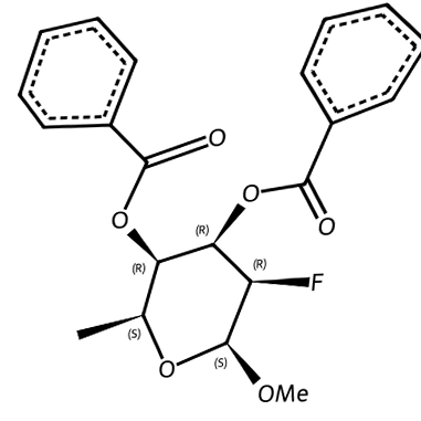 CO[C@H]1O[C@@H](C)[C@@H](OC(=O)c2ccccc2)[C@@H](OC(=O)c2ccccc2)[C@H]1F